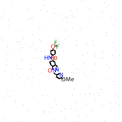 COc1ccc(Cn2ncc3cc([S@@](=N)(=O)c4ccc(OC(F)F)cc4)ccc3c2=O)cn1